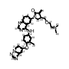 C=C1C(=O)N(c2ccc3ncnc(Nc4ccc(Oc5ccn6ncnc6c5)c(C)c4)c3c2)CC1COCCN(C)C